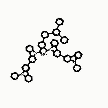 c1ccc(-c2cc(-c3ccccc3)cc(-c3cccc(-c4ccc5c(-n6c7ccccc7c7cc(-c8ccc9c(c8)c8ccccc8n9-c8ccccc8)ccc76)nnc(-n6c7ccccc7c7cc(-c8ccc9c(c8)c8ccccc8n9-c8ccccc8)ccc76)c5c4)c3)c2)cc1